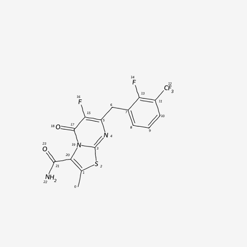 Cc1sc2nc(Cc3cccc(C(F)(F)F)c3F)c(F)c(=O)n2c1C(N)=O